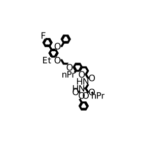 CCCOC(=O)C(CNC(=O)C1CCc2ccc(OCCCOc3cc(OCc4ccccc4)c(-c4ccc(F)cc4)cc3CC)c(CCC)c2O1)NC(=O)OCc1ccccc1